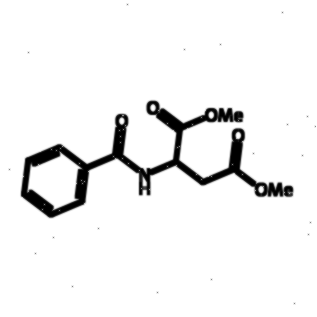 COC(=O)CC(NC(=O)c1ccccc1)C(=O)OC